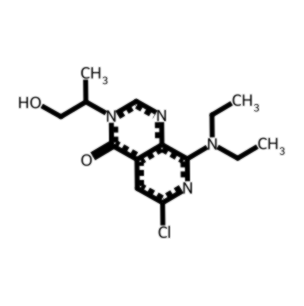 CCN(CC)c1nc(Cl)cc2c(=O)n(C(C)CO)cnc12